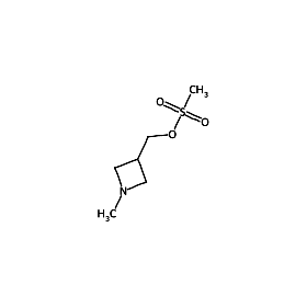 CN1CC(COS(C)(=O)=O)C1